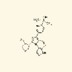 CC(=O)N1CCC[C@H]1c1nc(-c2ccc(C(C)(C)O)cc2)c2cnc3[nH]ccc3n12